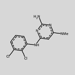 CNc1cc(Nc2cccc(Cl)c2Cl)nc(N)n1